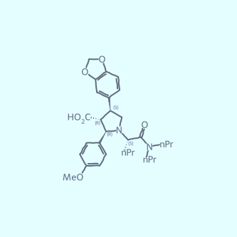 CCC[C@@H](C(=O)N(CCC)CCC)N1C[C@H](c2ccc3c(c2)OCO3)[C@@H](C(=O)O)[C@@H]1c1ccc(OC)cc1